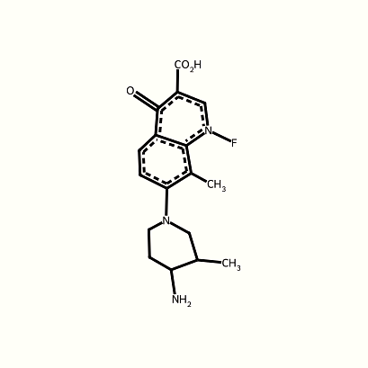 Cc1c(N2CCC(N)C(C)C2)ccc2c(=O)c(C(=O)O)cn(F)c12